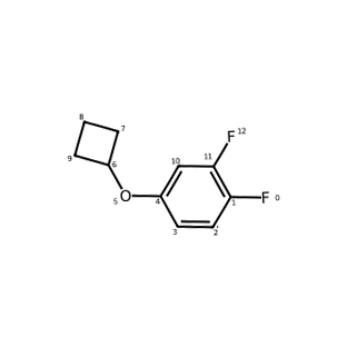 Fc1[c]cc(OC2CCC2)cc1F